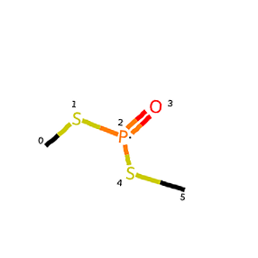 CS[P](=O)SC